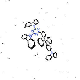 c1ccc([Si](c2ccccc2)(c2ccc(-n3c4ccccc4c4ccccc43)cc2)c2cccc(-c3nc(-n4c5ccccc5c5ccccc54)nc(-n4c5ccccc5c5ccccc54)n3)c2)cc1